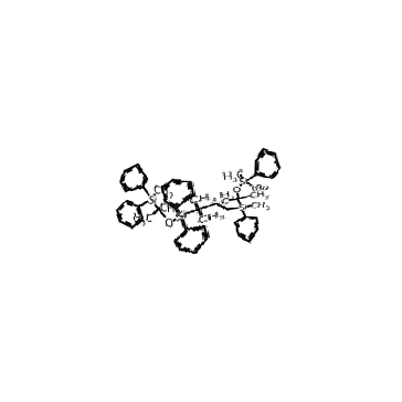 CC(C)(O[Si](C)(c1ccccc1)C(C)(C)C)[Si](C)(CCC(C)(C)[Si](OC(C)(C)[Si](C)(c1ccccc1)c1ccccc1)(c1ccccc1)c1ccccc1)c1ccccc1